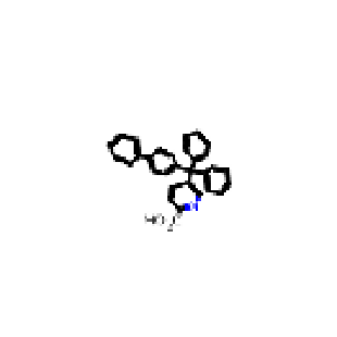 O=C(O)c1ccc(C(c2ccccc2)(c2ccccc2)c2ccc(-c3ccccc3)cc2)cn1